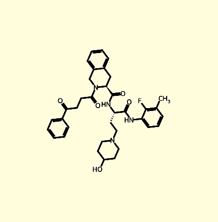 Cc1cccc(NC(=O)[C@H](CCN2CCC(O)CC2)NC(=O)[C@@H]2Cc3ccccc3CN2C(=O)CCC(=O)c2ccccc2)c1F